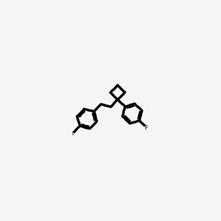 Fc1ccc(C2(CCc3ccc(I)cc3)CCC2)cc1